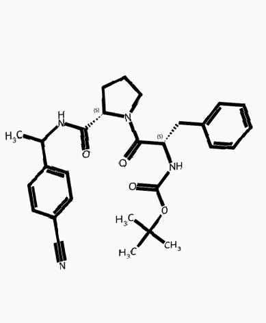 CC(NC(=O)[C@@H]1CCCN1C(=O)[C@H](Cc1ccccc1)NC(=O)OC(C)(C)C)c1ccc(C#N)cc1